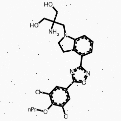 CCCOc1c(Cl)cc(-c2nc(-c3cccc4c3CCN4CC(N)(CO)CO)no2)cc1Cl